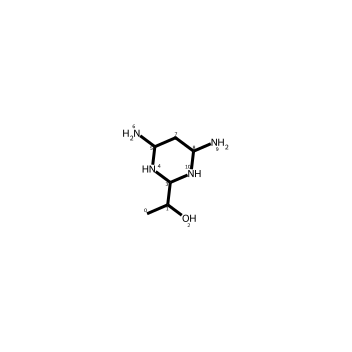 CC(O)C1NC(N)CC(N)N1